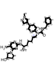 CCC[C@H](CCC/C=C/N(C(=O)NCc1ccccc1)c1ccc(-c2cnn(C)c2)cn1)Nc1ncc(N)c(N2CCC(O)C2)n1